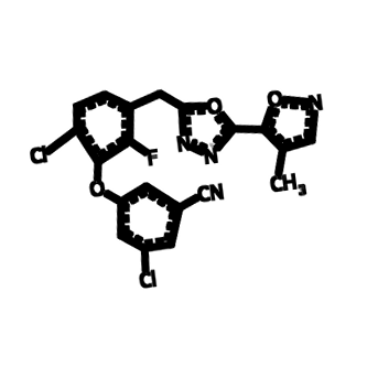 Cc1cnoc1-c1nnc(Cc2ccc(Cl)c(Oc3cc(Cl)cc(C#N)c3)c2F)o1